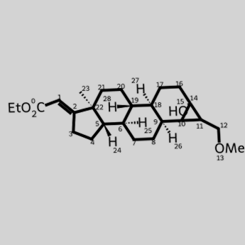 CCOC(=O)/C=C1\CC[C@H]2[C@@H]3CC[C@@H]4C5C(COC)[C@@]5(O)CC[C@@H]4[C@H]3CC[C@]12C